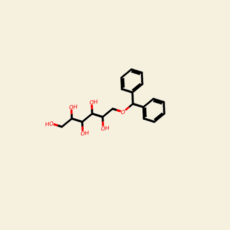 OCC(O)C(O)C(O)C(O)COC(c1ccccc1)c1ccccc1